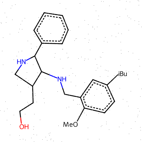 CCC(C)c1ccc(OC)c(CNC2C(CCO)CNC2c2ccccc2)c1